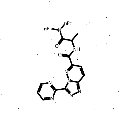 CCCN(CCC)C(=O)C(C)NC(=O)c1ccc2nnc(-c3ncccn3)n2n1